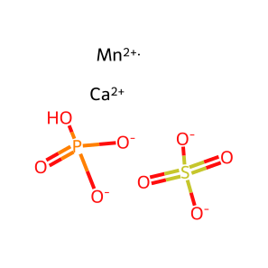 O=P([O-])([O-])O.O=S(=O)([O-])[O-].[Ca+2].[Mn+2]